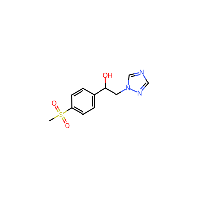 CS(=O)(=O)c1ccc(C(O)Cn2cncn2)cc1